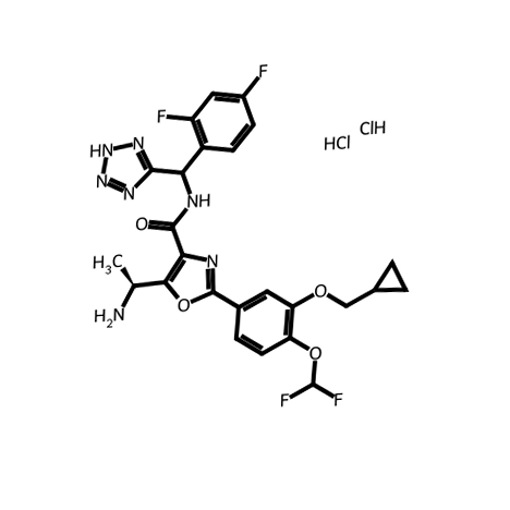 C[C@H](N)c1oc(-c2ccc(OC(F)F)c(OCC3CC3)c2)nc1C(=O)NC(c1nn[nH]n1)c1ccc(F)cc1F.Cl.Cl